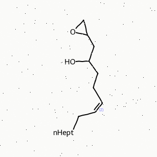 CCCCCCCC/C=C\CCC(O)CC1CO1